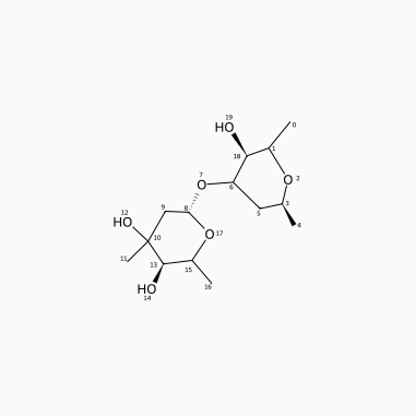 CC1O[C@@H](C)CC(O[C@H]2CC(C)(O)[C@H](O)C(C)O2)[C@H]1O